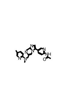 CC(=O)Nc1ccc(-c2cnc3cnc(CN(C)c4ccc(C)cn4)cn23)cn1